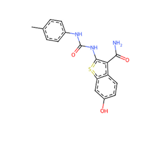 Cc1ccc(NC(=O)Nc2sc3cc(O)ccc3c2C(N)=O)cc1